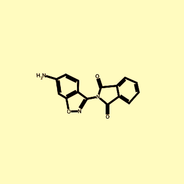 Nc1ccc2c(N3C(=O)c4ccccc4C3=O)noc2c1